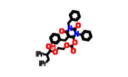 CC(C)CC(C(C)C)C(O)OCCOC(=O)Oc1c(Cc2ccccc2)c(=O)n(Cc2ccccc2)c(=O)n1-c1ccccc1